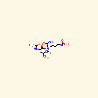 CC(=O)N[C@@H](CC(C)C)C(=O)N[C@@H](CCCCNC(=O)O)C(N)=O